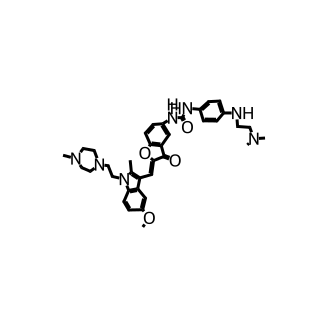 COc1ccc2c(c1)c(/C=C1\Oc3ccc(NC(=O)Nc4ccc(NCCN(C)C)cc4)cc3C1=O)c(C)n2CCN1CCN(C)CC1